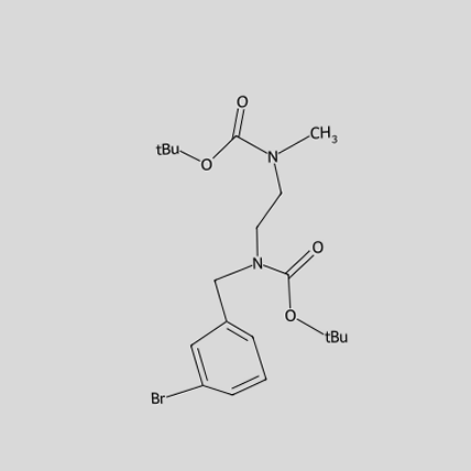 CN(CCN(Cc1cccc(Br)c1)C(=O)OC(C)(C)C)C(=O)OC(C)(C)C